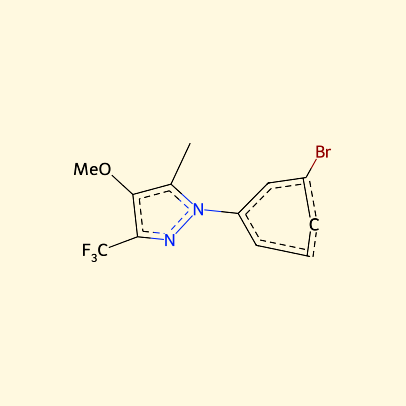 COc1c(C(F)(F)F)nn(-c2cccc(Br)c2)c1C